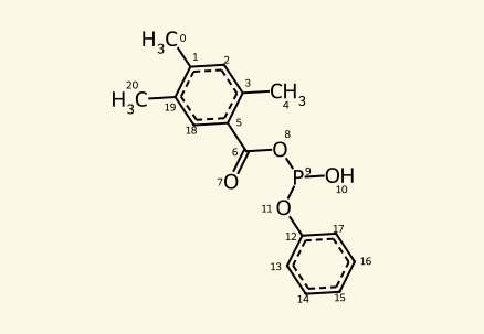 Cc1cc(C)c(C(=O)OP(O)Oc2ccccc2)cc1C